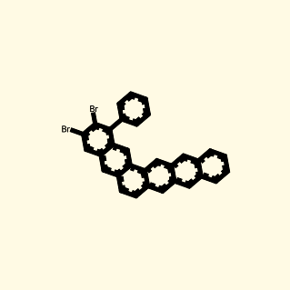 Brc1cc2cc3ccc4cc5cc6ccccc6cc5cc4c3cc2c(-c2ccccc2)c1Br